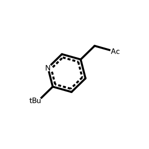 CC(=O)Cc1ccc(C(C)(C)C)nc1